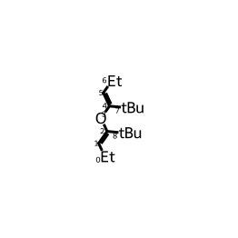 CC/C=C(/O/C(=C/CC)C(C)(C)C)C(C)(C)C